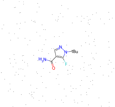 CC(C)(C)n1ncc(C(N)=O)c1F